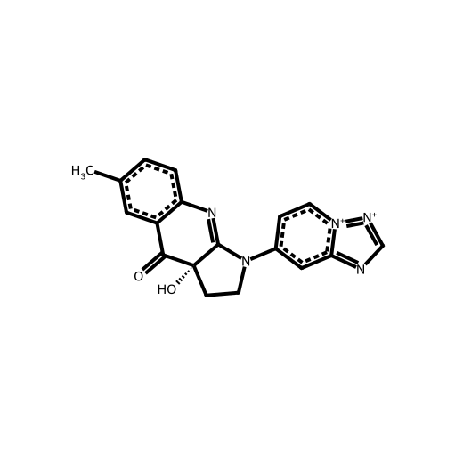 Cc1ccc2c(c1)C(=O)[C@]1(O)CCN(c3cc[n+]4c(c3)=NC=[N+]=4)C1=N2